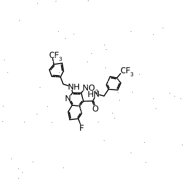 O=C(NCc1ccc(C(F)(F)F)cc1)c1c([N+](=O)[O-])c(NCc2ccc(C(F)(F)F)cc2)nc2ccc(F)cc12